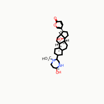 C[C@@]12CCC(C3CN[C@@H](O)CCN3C(=O)O)CC1CC[C@@H]1[C@@H]2CC[C@]2(C)[C@@H](c3ccc(=O)oc3)CC[C@]12O